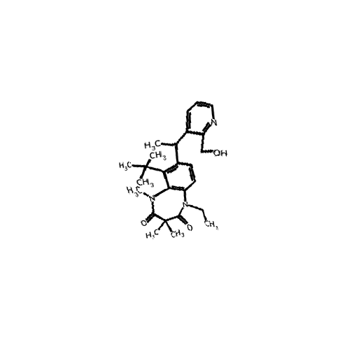 CCN1C(=O)C(C)(C)C(=O)N(C)c2c1ccc([C](C)c1cccnc1CO)c2C(C)(C)C